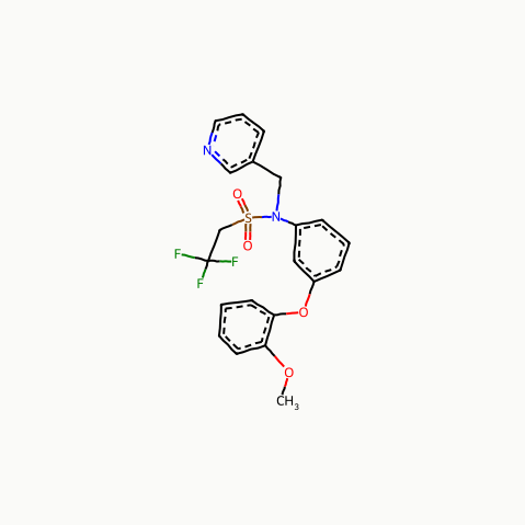 COc1ccccc1Oc1cccc(N(Cc2cccnc2)S(=O)(=O)CC(F)(F)F)c1